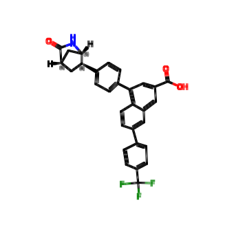 O=C(O)c1cc(-c2ccc([C@H]3C[C@H]4C[C@@H]3NC4=O)cc2)c2ccc(-c3ccc(C(F)(F)F)cc3)cc2c1